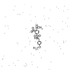 CNc1ccc(S(=O)(=O)NCc2ccc(OC)cc2)cc1[N+](=O)[O-]